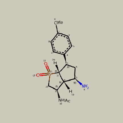 COc1ccc([C@H]2C[C@@H](N)[C@H]3[C@@H]2S(=O)(=O)C[C@@H]3NC(C)=O)cc1